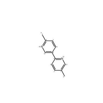 Cc1ccc(-c2ccc(I)nc2)nc1